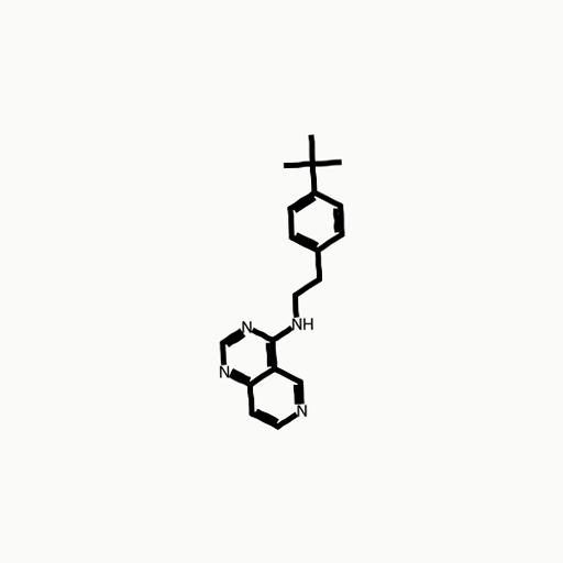 CC(C)(C)c1ccc(CCNc2ncnc3ccncc23)cc1